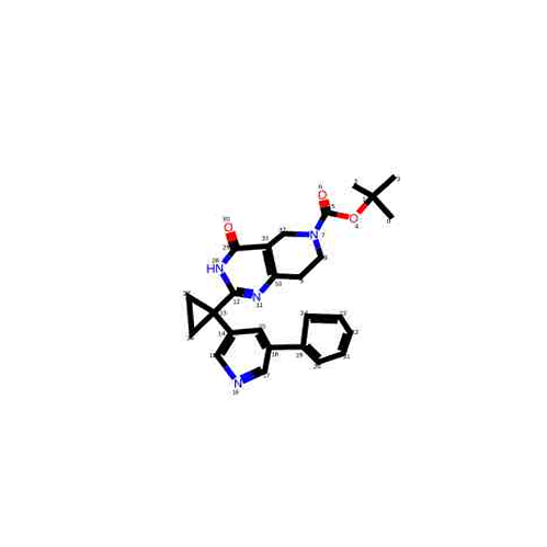 CC(C)(C)OC(=O)N1CCc2nc(C3(c4cncc(-c5ccccc5)c4)CC3)[nH]c(=O)c2C1